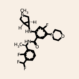 C[C@@H](NC(=O)c1cc(N2CCOCC2)c(F)cc1NC1[C@H]2CN(C)C[C@@H]12)c1cccc(C(F)F)c1F